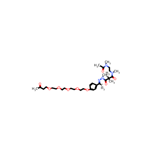 CC(=O)CCOCCOCCOCCOCCOc1ccc(C(C)=NN(C)C(=O)C(C)(C)C(=O)N(C)CCN(C)C(C)=O)cc1